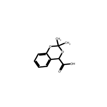 CC1(C)Oc2ccccc2C(C(=O)O)O1